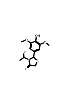 COc1cc(C2SCC(=O)N2C(C)Br)cc(OC)c1O